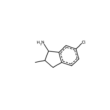 CC1Cc2ccc(Cl)cc2C1N